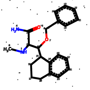 CNC(C(N)=O)C(OCc1ccccc1)C1CCCc2ccccc21